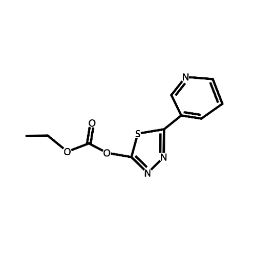 CCOC(=O)Oc1nnc(-c2cccnc2)s1